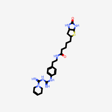 N=C(NC(=N)N1CC=CCC1)Nc1ccc(CCNC(=O)CCCCC2CC3NC(=O)NC3S2)cc1